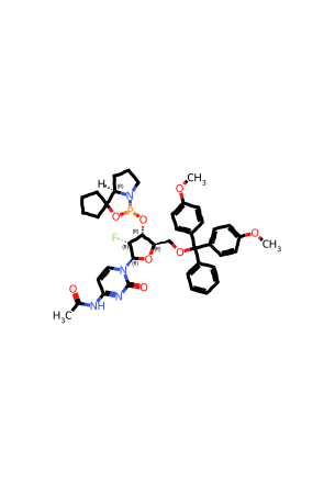 COc1ccc(C(OC[C@H]2O[C@@H](n3ccc(NC(C)=O)nc3=O)[C@H](F)[C@@H]2OP2OC3(CCCC3)[C@H]3CCCN32)(c2ccccc2)c2ccc(OC)cc2)cc1